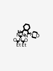 CCC(=O)N(C(=O)CC)c1nnc2c3c(c(N4CCOCC4)nn12)CCCC3